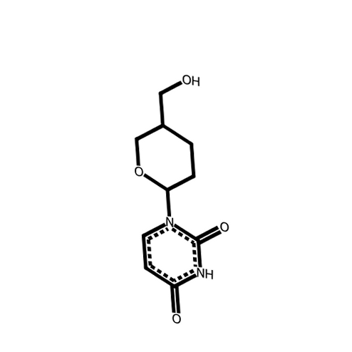 O=c1ccn(C2CCC(CO)CO2)c(=O)[nH]1